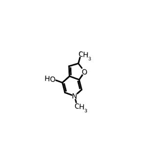 CC1C=C2C(O)=CN(C)C=C2O1